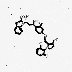 Cc1cc(OCc2c(C(C)C)cnn2-c2c(Cl)cccc2Cl)ccc1C(N)CCn1c(C(=O)O)cc2ccccc21